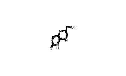 O=c1ncc2nc(CO)cnc2[nH]1